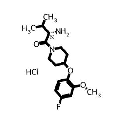 COc1cc(F)ccc1OC1CCN(C(=O)[C@@H](N)C(C)C)CC1.Cl